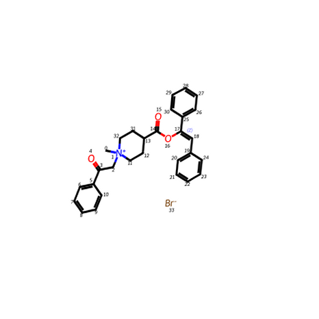 C[N+]1(CC(=O)c2ccccc2)CCC(C(=O)O/C(=C\c2ccccc2)c2ccccc2)CC1.[Br-]